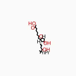 CCCC(C)(C)C(O)C/C=C/[C@@H]1[C@H]2CC(CCCCC(=O)CO)O[C@H]2C[C@H]1O